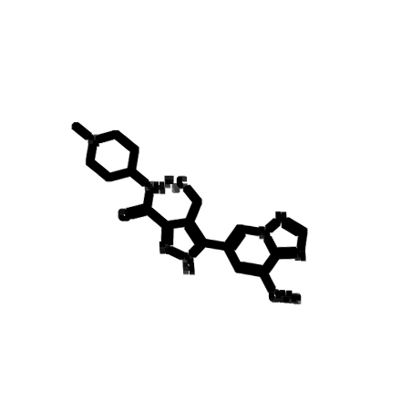 COc1cc(-c2[nH]nc(C(=O)NC3CCN(C)CC3)c2CC(F)(F)F)cn2ncnc12